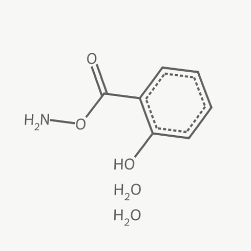 NOC(=O)c1ccccc1O.O.O